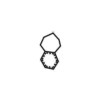 [C]1CCc2ccccc2CC1